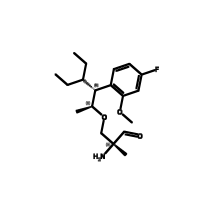 CCC(CC)[C@H](c1ccc(F)cc1OC)[C@H](C)OC[C@@](C)(N)C=O